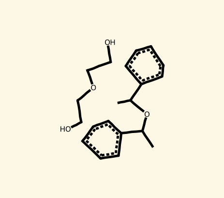 CC(OC(C)c1ccccc1)c1ccccc1.OCCOCCO